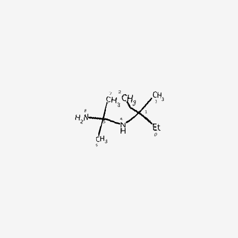 CCC(C)(C)NC(C)(C)N